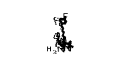 COCCc1nc2c(N)nc(C)c(C)c2n1CCCCCSc1ccc(F)cc1F